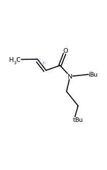 C/C=C/C(=O)N(CCC(C)(C)C)C(C)CC